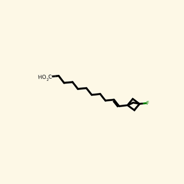 O=C(O)CCCCCCCCC=CC12CC(F)(C1)C2